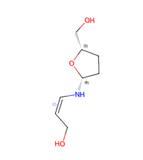 OC/C=C\N[C@H]1CC[C@@H](CO)O1